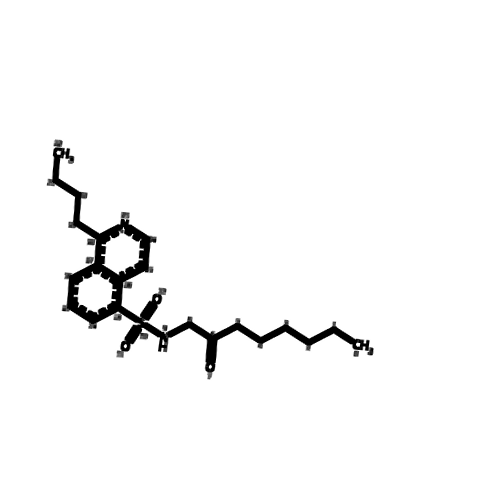 CCCCCCC(=O)CNS(=O)(=O)c1cccc2c(CCCC)nccc12